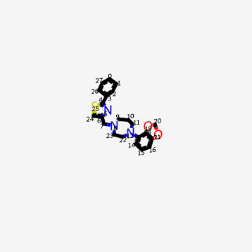 c1ccc(-c2nc(CN3CCCN(c4cccc5c4OCO5)CC3)cs2)cc1